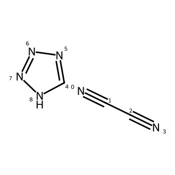 N#CC#N.c1nnn[nH]1